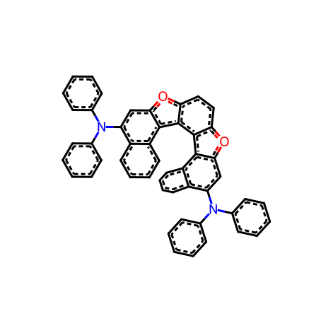 c1ccc(N(c2ccccc2)c2cc3oc4ccc5oc6cc(N(c7ccccc7)c7ccccc7)c7ccccc7c6c5c4c3c3ccccc23)cc1